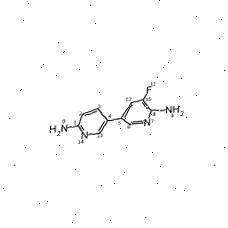 Nc1ccc(-c2cnc(N)c(F)c2)cn1